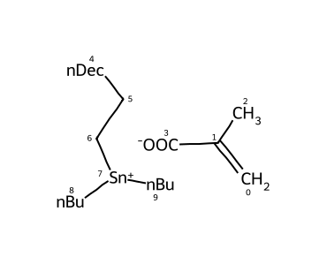 C=C(C)C(=O)[O-].CCCCCCCCCCC[CH2][Sn+]([CH2]CCC)[CH2]CCC